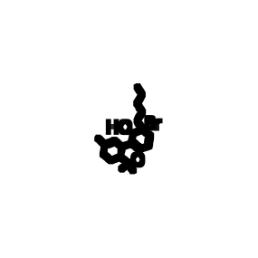 CCCCCC1(Br)C=CC2=C(C3C=C(C)CCC3C(C)(C)O2)C1O